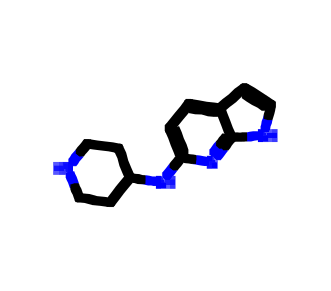 c1cc2ccc(NC3CCNCC3)nc2[nH]1